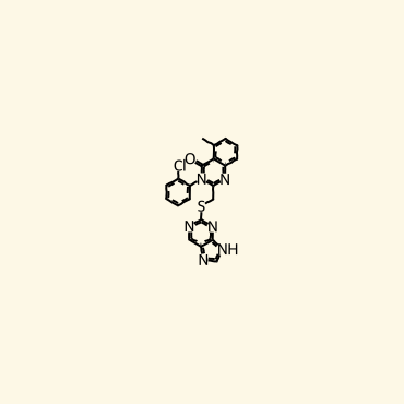 Cc1cccc2nc(CSc3ncc4nc[nH]c4n3)n(-c3ccccc3Cl)c(=O)c12